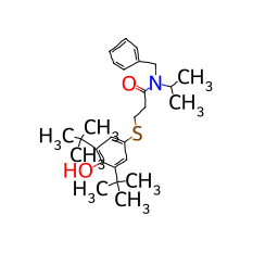 CC(C)N(Cc1ccccc1)C(=O)CCSc1cc(C(C)(C)C)c(O)c(C(C)(C)C)c1